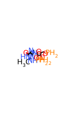 CNc1nc2c(ncn2C2OC(COP)C(OP)C2OP)c(=O)[nH]1